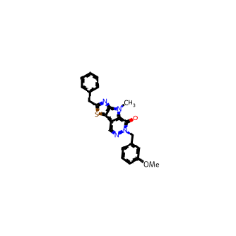 COc1cccc(Cn2ncc3c4sc(Cc5ccccc5)nc4n(C)c3c2=O)c1